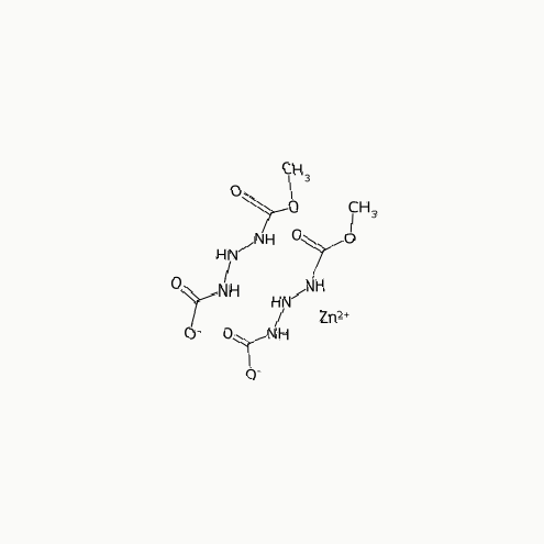 COC(=O)NNNC(=O)[O-].COC(=O)NNNC(=O)[O-].[Zn+2]